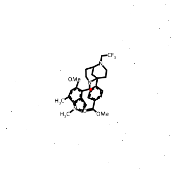 COC(=O)c1ccc(C23CCN(CC(F)(F)F)C(CCN2Cc2c(OC)cc(C)c4c2ccn4C)C3)cc1